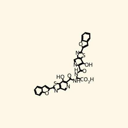 O=C(NC(NC(=O)c1ncc2nc(-c3cc4ccccc4o3)sc2c1O)C(=O)O)c1ncc2nc(-c3cc4ccccc4o3)sc2c1O